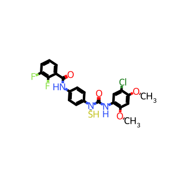 COc1cc(OC)c(NC(=O)N(S)c2ccc(NC(=O)c3cccc(F)c3F)cc2)cc1Cl